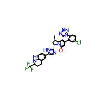 C[C@@H]1C[C@@H](c2ncc(-c3ccc4c(c3)CCC(C(F)(F)F)N4)[nH]2)n2c1cc(-c1cc(Cl)ccc1-n1cnnn1)cc2=O